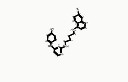 Clc1ccc(Nc2ccnc(NCCCCNc3ccnc4cc(Cl)ccc34)n2)cc1